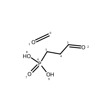 C=O.O=CCCP(=O)(O)O